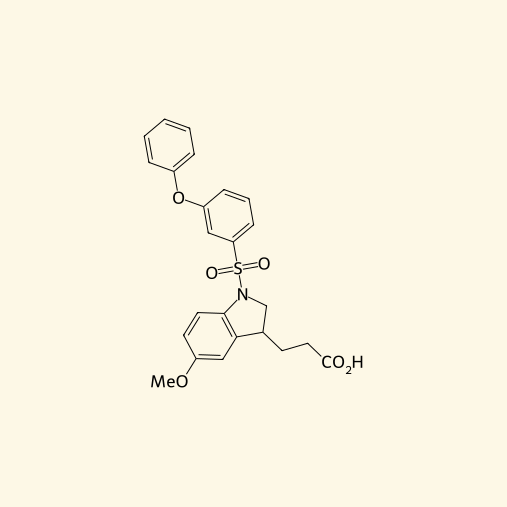 COc1ccc2c(c1)C(CCC(=O)O)CN2S(=O)(=O)c1cccc(Oc2ccccc2)c1